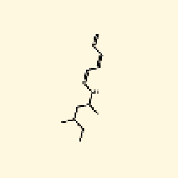 C=C/C=C\C=C/NC(C)CC(C)CC